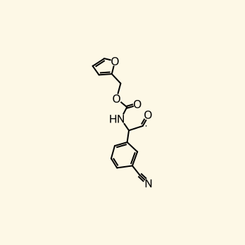 N#Cc1cccc(C([C]=O)NC(=O)OCc2ccco2)c1